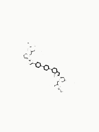 COC(=O)N[C@H](C(=O)N1C[C@@H](C)C[C@H]1c1cc2ccc(-c3ccc(-c4ccc(-c5cnc([C@@H]6CCCN6C(=O)[C@@H](NC(=O)OC)C(C)C)[nH]5)cc4)cc3)cc2[nH]1)C(C)C